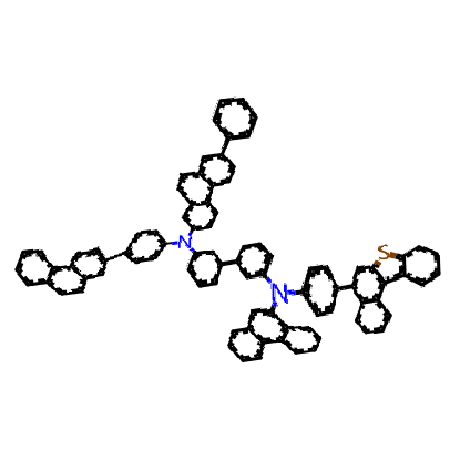 c1ccc(-c2ccc3c(ccc4cc(N(c5ccc(-c6ccc7c(ccc8ccccc87)c6)cc5)c5cccc(-c6cccc(N(c7ccc(-c8cc9sc%10ccccc%10c9c9ccccc89)cc7)c7cc8ccccc8c8ccccc78)c6)c5)ccc43)c2)cc1